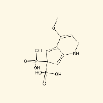 COC1=CCNC2=CC(P(=O)(O)O)(P(=O)(O)O)C=C21